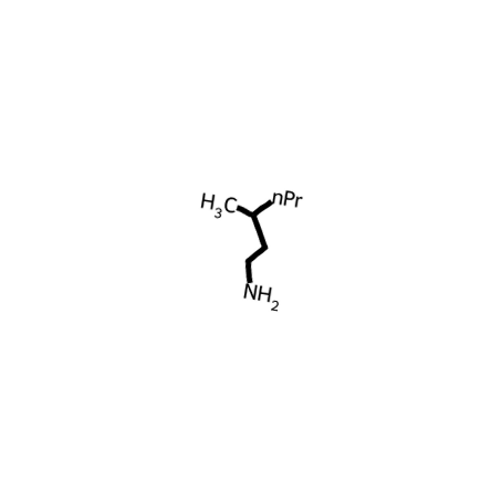 C[CH]CC(C)CCN